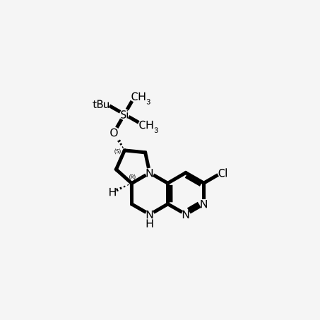 CC(C)(C)[Si](C)(C)O[C@H]1C[C@@H]2CNc3nnc(Cl)cc3N2C1